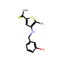 COC(=S)c1cc(NCc2cccc(O)c2)c(C)s1